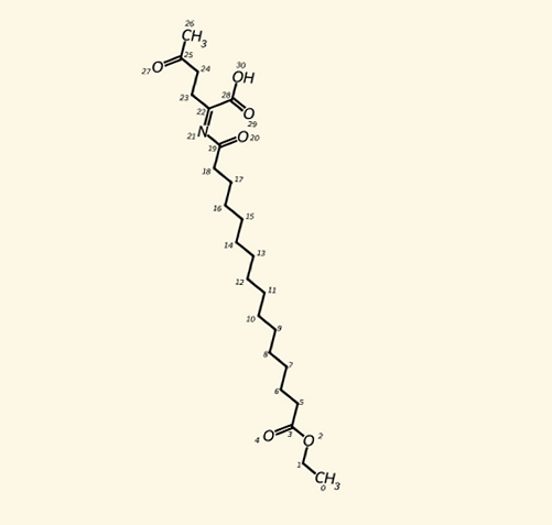 CCOC(=O)CCCCCCCCCCCCCCC(=O)N=C(CCC(C)=O)C(=O)O